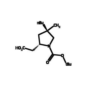 CCCC[C@]1(C)C[C@@H](CC(=O)O)N(C(=O)OC(C)(C)C)C1